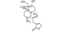 C=C1CC[C@H]2[C@@](C)(CC[C@@H](O)[C@@]2(C)CO)[C@@H]1C(=O)CC1=CCOC1=O